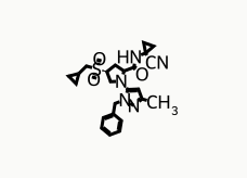 Cc1cc(N2C[C@H](S(=O)(=O)CC3CC3)CC2C(=O)NC2(C#N)CC2)n(Cc2ccccc2)n1